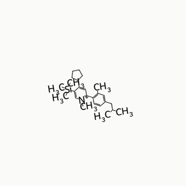 Cc1cc(CC(C)C)ccc1-c1cc(C2CCCC2)c([Si](C)(C)C)c[n+]1C